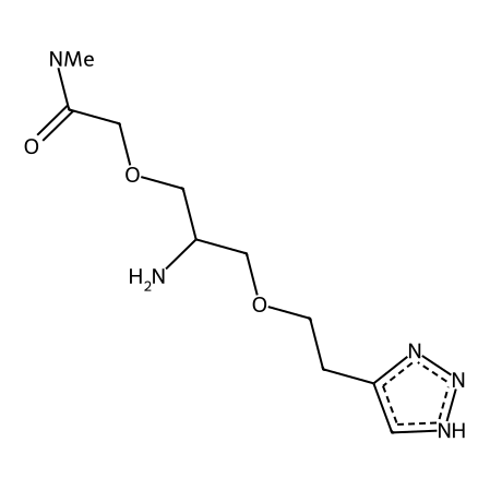 CNC(=O)COCC(N)COCCc1c[nH]nn1